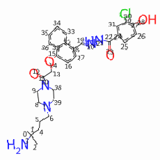 CC(C)(N)CCCN1CCN(C(=O)COc2ccc(/C=N/NC(=O)c3ccc(O)c(Cl)c3)c3ccccc23)CC1